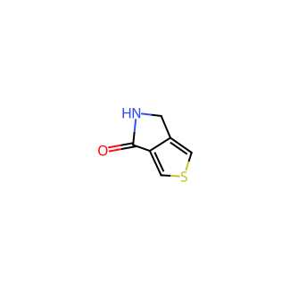 O=C1NCc2cscc21